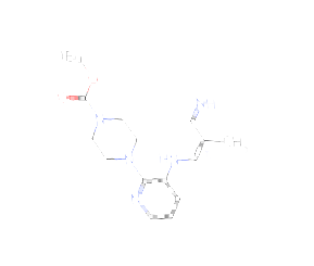 C/C(C=N)=C/Nc1cccnc1N1CCN(C(=O)OC(C)(C)C)CC1